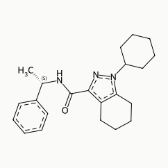 C[C@H](NC(=O)c1nn(C2CCCCC2)c2c1CCCC2)c1ccccc1